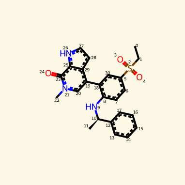 CCS(=O)(=O)c1ccc(N[C@H](C)c2ccccc2)c(-c2cn(C)c(=O)c3[nH]ccc23)c1